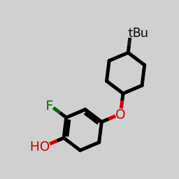 CC(C)(C)C1CCC(OC2=CC(F)=C(O)CC2)CC1